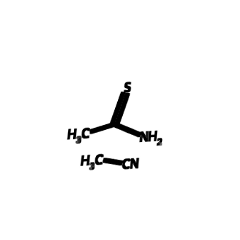 CC#N.CC(N)=S